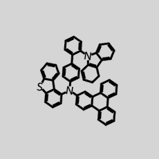 C1=Cc2c(c3ccccc3n2-c2ccccc2-c2ccc(N(c3ccc4c5ccccc5c5ccccc5c4c3)c3cccc4sc5ccccc5c34)cc2)CC1